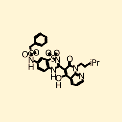 CC(C)CCn1c(=O)c(C2=NS(=O)(=O)c3cc(NS(=O)(=O)Cc4ccccc4)ccc3N2)c(O)c2cccnc21